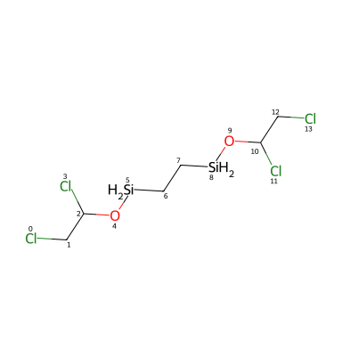 ClCC(Cl)O[SiH2]CC[SiH2]OC(Cl)CCl